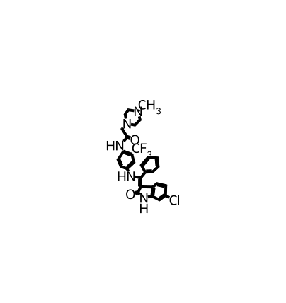 CN1CCN(CC(=O)Nc2ccc(N/C(=C3\C(=O)Nc4cc(Cl)ccc43)c3ccccc3)cc2C(F)(F)F)CC1